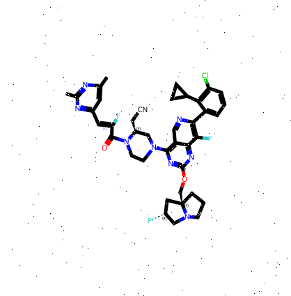 Cc1cc(/C=C(\F)C(=O)N2CCN(c3nc(OC[C@@]45CCCN4C[C@H](F)C5)nc4c(F)c(-c5cccc(Cl)c5C5CC5)ncc34)C[C@@H]2CC#N)nc(C)n1